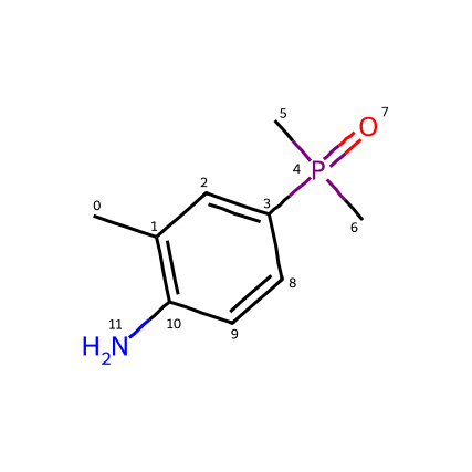 Cc1cc(P(C)(C)=O)ccc1N